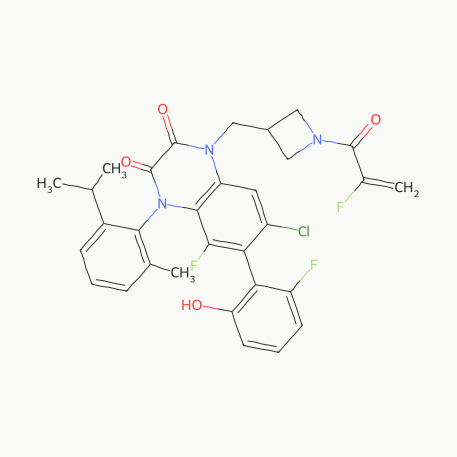 C=C(F)C(=O)N1CC(Cn2c(=O)c(=O)n(-c3c(C)cccc3C(C)C)c3c(F)c(-c4c(O)cccc4F)c(Cl)cc32)C1